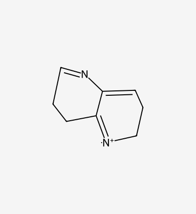 C1=NC2=CCC[N+]=C2CC1